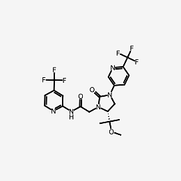 COC(C)(C)[C@H]1CN(c2ccc(C(F)(F)F)nc2)C(=O)N1CC(=O)Nc1cc(C(F)(F)F)ccn1